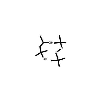 CC(C)(C)OOC(C)(C)C.CC(O)CC(C)(C)O